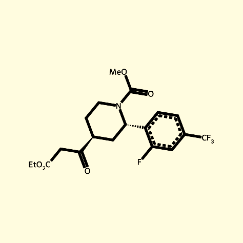 CCOC(=O)CC(=O)[C@H]1CCN(C(=O)OC)[C@H](c2ccc(C(F)(F)F)cc2F)C1